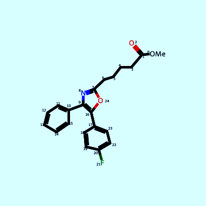 COC(=O)CCCCc1nc(-c2ccccc2)c(-c2ccc(F)cc2)o1